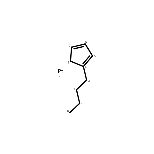 CCCCC1=CC=CC1.[Pt]